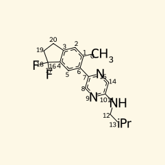 Cc1cc2c(cc1-c1cnc(NCC(C)C)cn1)C(F)(F)CC2